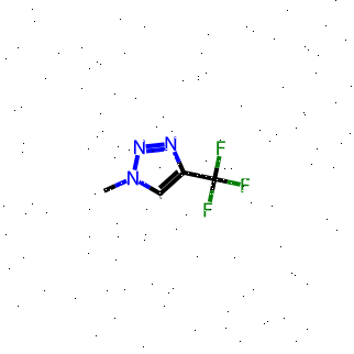 Cn1[c]c(C(F)(F)F)nn1